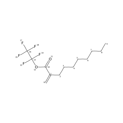 C=C(CCCCCCCC)C(=O)OC(F)(F)C(F)(F)F